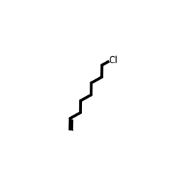 [CH]=CCCCCCCCl